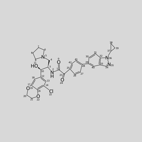 O=C(N[C@H](CN1CCCC1)[C@H](O)c1cc(Cl)c2c(c1)OCCO2)C(=O)c1ccc(-c2ccc3c(cnn3C3CC3)c2)cc1